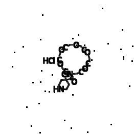 Cl.O=C(N1CCOCCOCCOCCOCCOCC1)C1(C(F)(F)F)CCNCC1